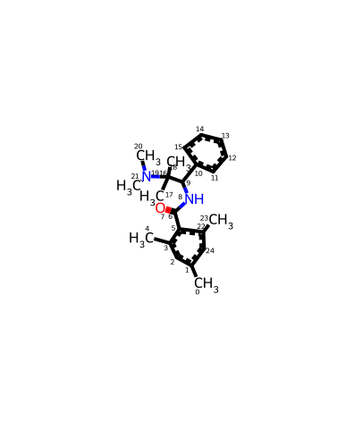 Cc1cc(C)c(C(=O)NC(c2ccccc2)C(C)(C)N(C)C)c(C)c1